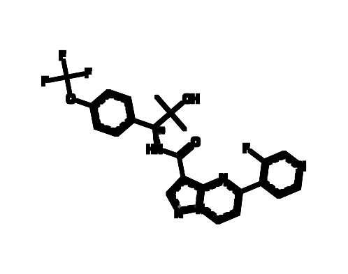 CC(C)(O)[C@@H](NC(=O)c1cnn2ccc(-c3ccncc3F)nc12)c1ccc(OC(F)(F)F)cc1